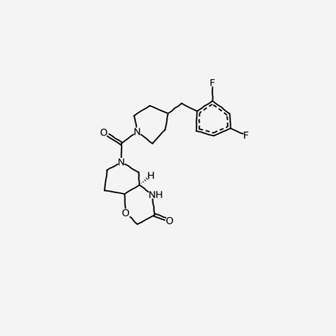 O=C1COC2CCN(C(=O)N3CCC(Cc4ccc(F)cc4F)CC3)C[C@H]2N1